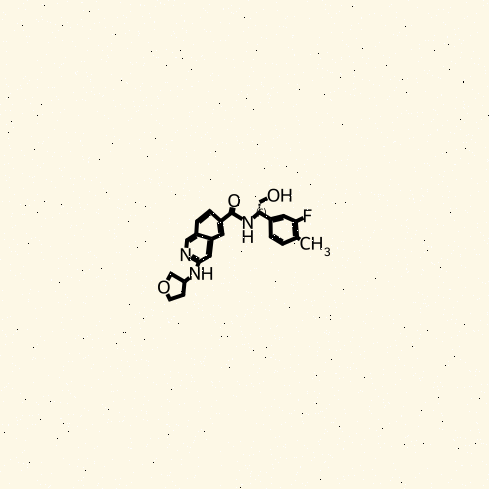 Cc1ccc([C@@H](CO)NC(=O)c2ccc3cnc(NC4CCOC4)cc3c2)cc1F